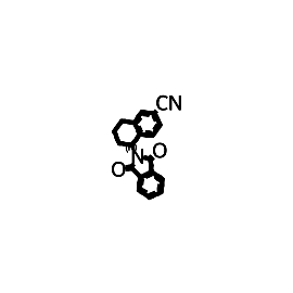 N#Cc1ccc2c(c1)CCC[C@H]2N1C(=O)c2ccccc2C1=O